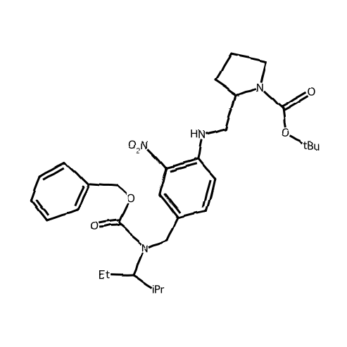 CCC(C(C)C)N(Cc1ccc(NCC2CCCN2C(=O)OC(C)(C)C)c([N+](=O)[O-])c1)C(=O)OCc1ccccc1